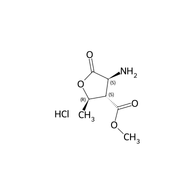 COC(=O)[C@H]1[C@H](N)C(=O)O[C@@H]1C.Cl